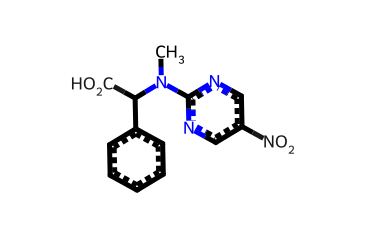 CN(c1ncc([N+](=O)[O-])cn1)C(C(=O)O)c1ccccc1